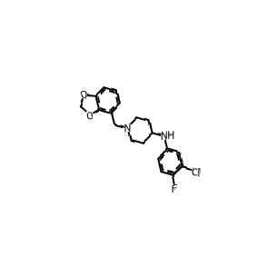 Fc1ccc(NC2CCN(Cc3cccc4c3OCO4)CC2)cc1Cl